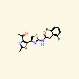 CC(=O)c1nc(C)sc1-c1csc(NC(=O)Cc2c(F)cccc2F)n1